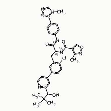 Cc1nocc1C(=O)N[C@@H](Cc1cc(-c2ccnc(C(O)C(C)(C)C)c2)ccc1Cl)C(=O)Nc1ccc(-c2nncn2C)cc1